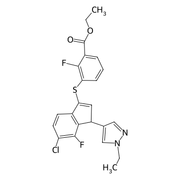 CCOC(=O)c1cccc(SC2=CC(c3cnn(CC)c3)c3c2ccc(Cl)c3F)c1F